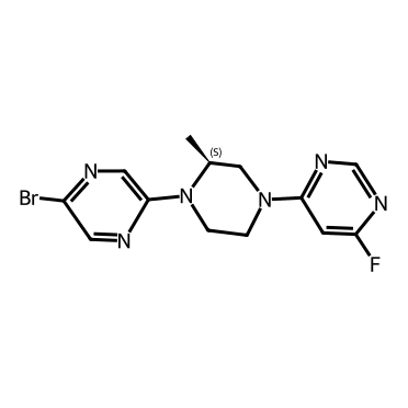 C[C@H]1CN(c2cc(F)ncn2)CCN1c1cnc(Br)cn1